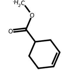 [CH2]OC(=O)C1CC=CCC1